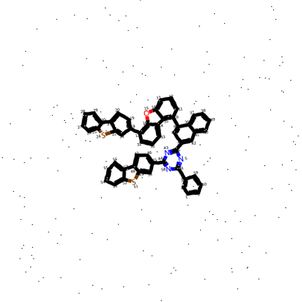 c1ccc(-c2nc(-c3cc(-c4cccc5oc6c(-c7ccc8c(c7)sc7ccccc78)cccc6c45)c4ccccc4c3)nc(-c3ccc4c(c3)sc3ccccc34)n2)cc1